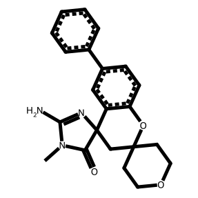 CN1C(=O)C2(CC3(CCOCC3)Oc3ccc(-c4ccccc4)cc32)N=C1N